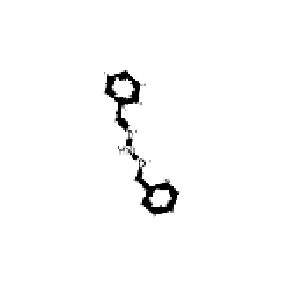 C(=NNOCc1ccccc1)c1ccccc1